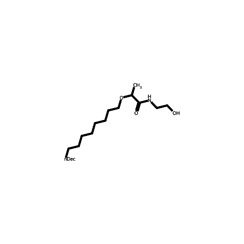 CCCCCCCCCCCCCCCCCCOC(C)C(=O)NCCO